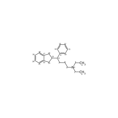 CCN(CC)CCCC(c1ccccc1)C1Cc2ccccc2C1